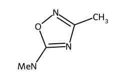 CNc1nc(C)no1